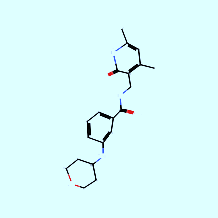 Cc1cc(C)c(CNC(=O)c2cccc(NC3CCOCC3)c2)c(=O)[nH]1